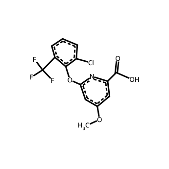 COc1cc(Oc2c(Cl)cccc2C(F)(F)F)nc(C(=O)O)c1